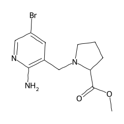 COC(=O)C1CCCN1Cc1cc(Br)cnc1N